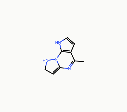 CC1=NC2=CCNN2c2[nH]ccc21